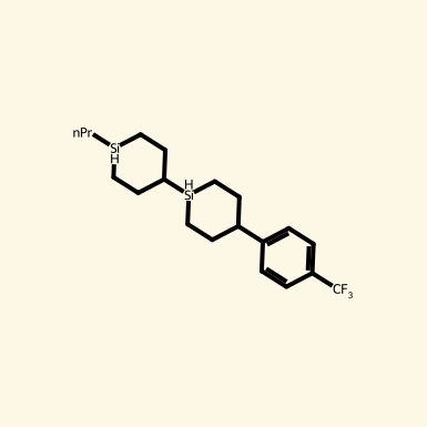 CCC[SiH]1CCC([SiH]2CCC(c3ccc(C(F)(F)F)cc3)CC2)CC1